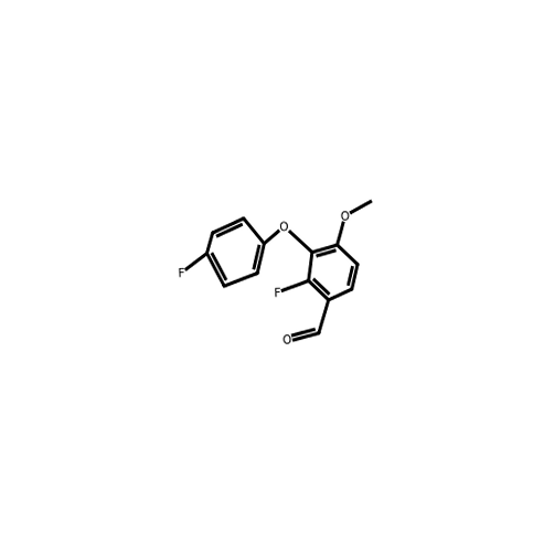 COc1ccc(C=O)c(F)c1Oc1ccc(F)cc1